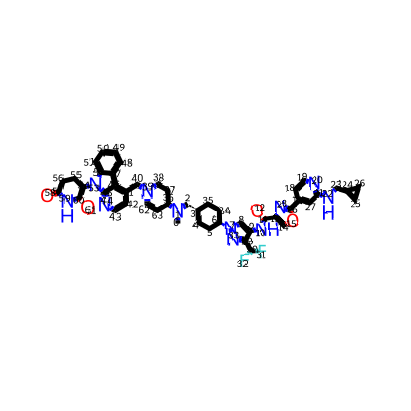 CN(C[C@H]1CC[C@H](n2cc(NC(=O)c3coc(-c4ccnc(NCC5CC5)c4)n3)c(C(F)F)n2)CC1)C1CCN(Cc2ccnc3c2c2ccccc2n3C2CCC(=O)NC2=O)CC1